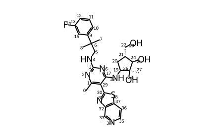 Cc1nc(NCC(C)(C)c2cccc(F)c2)nc(NC2C[C@H](CO)[C@@H](O)[C@@]2(C)O)c1-c1nc2cnccc2s1